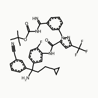 CC(C)(C)OC(=O)NC(=N)c1cccc(-n2nc(C(F)(F)F)cc2C(=O)Nc2cc(C(N)(CCC3CC3)c3cccc(C#N)c3)ccc2F)c1